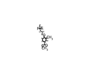 COC(=O)c1ccc(OCCCC(F)(F)F)c(C)c1